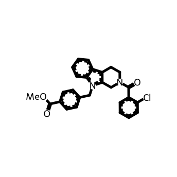 COC(=O)c1ccc(Cn2c3c(c4ccccc42)CCN(C(=O)c2ccccc2Cl)C3)cc1